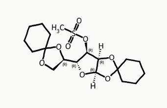 CS(=O)(=O)O[C@H]1[C@H]2OC3(CCCCC3)O[C@H]2O[C@@H]1[C@H]1COC2(CCCCC2)O1